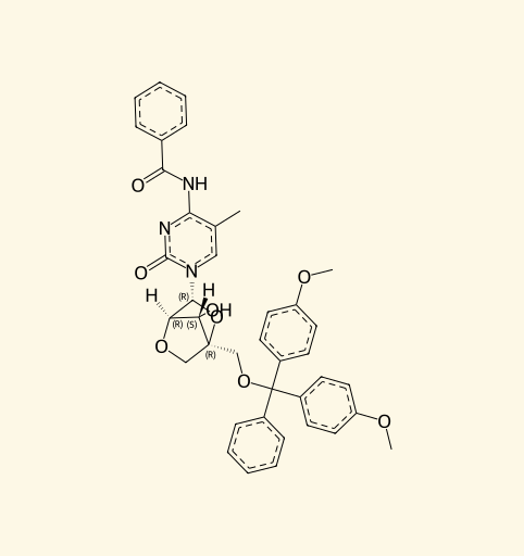 COc1ccc(C(OC[C@@]23CO[C@@H]([C@H](n4cc(C)c(NC(=O)c5ccccc5)nc4=O)O2)[C@@H]3O)(c2ccccc2)c2ccc(OC)cc2)cc1